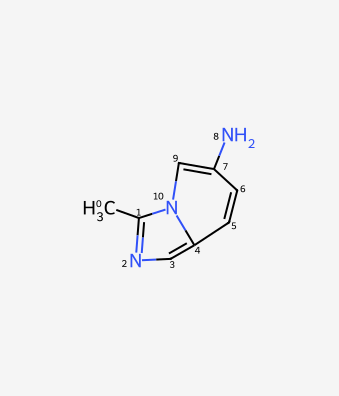 Cc1ncc2ccc(N)cn12